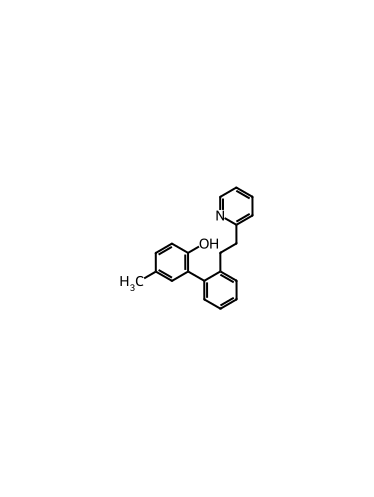 Cc1ccc(O)c(-c2ccccc2CCc2ccccn2)c1